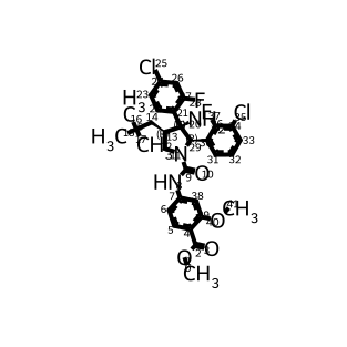 COC(=O)c1ccc(NC(=O)N2C[C@@H](CC(C)(C)C)[C@](N)(c3ccc(Cl)cc3F)[C@H]2c2cccc(Cl)c2F)cc1OC